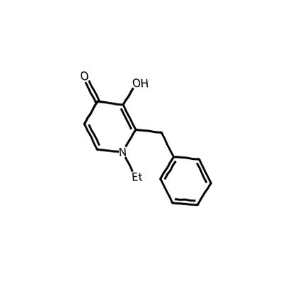 CCn1ccc(=O)c(O)c1Cc1ccccc1